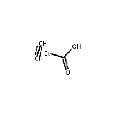 C#C.CCC(=O)O